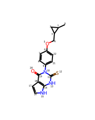 CC1CC1COc1ccc(-n2c(=S)[nH]c3[nH]ccc3c2=O)cc1